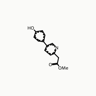 COC(=O)Cc1ccc(-c2ccc(O)cc2)cn1